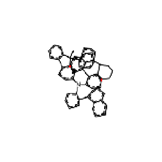 CC1(c2ccccc2)c2ccccc2-c2ccc(N(c3ccccc3-c3cccc4ccccc34)c3ccccc3-c3cccc4cccc(C5CCCCC5)c34)cc21